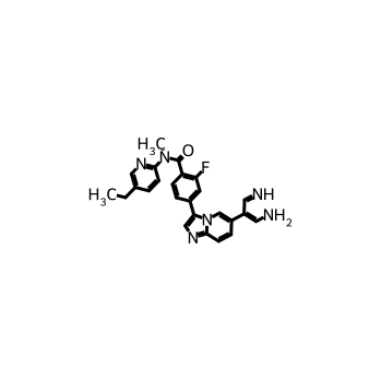 CCc1ccc(N(C)C(=O)c2ccc(-c3cnc4ccc(/C(C=N)=C/N)cn34)cc2F)nc1